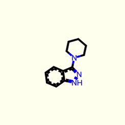 c1ccc2c(N3CCCCC3)n[nH]c2c1